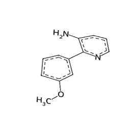 COc1cccc(-c2ncccc2N)c1